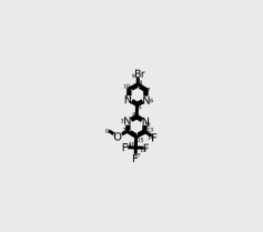 COc1nc(-c2ncc(Br)cn2)nc(F)c1C(F)(F)F